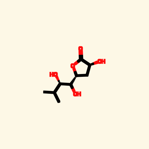 CC(C)[C@H](O)C(O)[C@H]1C[C@H](O)C(=O)O1